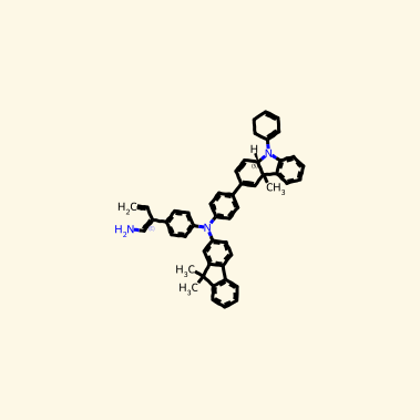 C=C/C(=C\N)c1ccc(N(c2ccc(C3=CC4(C)c5ccccc5N(C5=CC=CCC5)[C@H]4C=C3)cc2)c2ccc3c(c2)C(C)(C)c2ccccc2-3)cc1